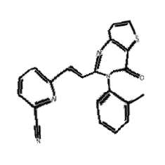 Cc1ccccc1-n1c(C=Cc2cccc(C#N)n2)nc2ccsc2c1=O